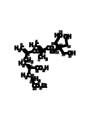 C=C(C)C(=O)O.C=C(C)C(=O)O.C=C(C)C(=O)O.CCC(CO)(CO)CO.CCOC(N)=O